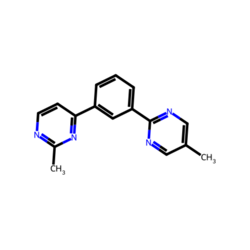 Cc1cnc(-c2cccc(-c3ccnc(C)n3)c2)nc1